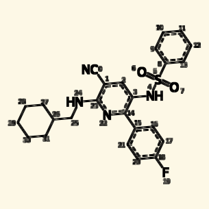 N#Cc1cc(NS(=O)(=O)c2ccccc2)c(-c2ccc(F)cc2)nc1NCC1CCCCC1